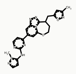 Cc1cc(CC2CCOc3cc(-c4ccnc(Nc5ccnn5C)n4)cc4nnc2n34)on1